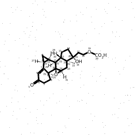 C[C@]12CCC(=O)C=C1[C@H]1C[C@H]1[C@H]1[C@@H]3CC[C@@](O)(CCOC(=O)O)[C@@]3(C)C[C@H]3O[C@@]132